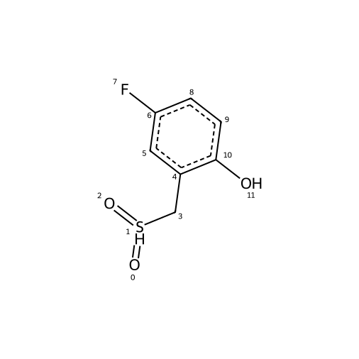 O=[SH](=O)Cc1cc(F)ccc1O